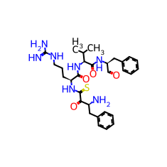 CC(C)[C@H](NC(=O)[C@H](CCCNC(=N)N)NC(=S)C(=O)[C@@H](N)Cc1ccccc1)C(=O)N[C@H](C=O)Cc1ccccc1